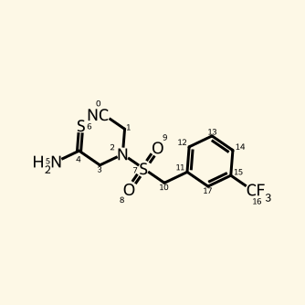 N#CCN(CC(N)=S)S(=O)(=O)Cc1cccc(C(F)(F)F)c1